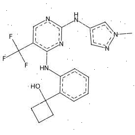 Cn1cc(Nc2ncc(C(F)(F)F)c(Nc3ccccc3C3(O)CCC3)n2)cn1